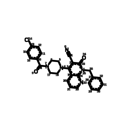 N#Cc1c(N2CCN(C(=O)c3ccc(Cl)cc3)CC2)c2cccnc2n(Cc2ccccc2)c1=O